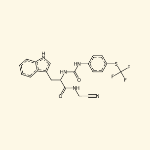 N#CCNC(=O)C(Cc1c[nH]c2ccccc12)NC(=O)Nc1ccc(SC(F)(F)F)cc1